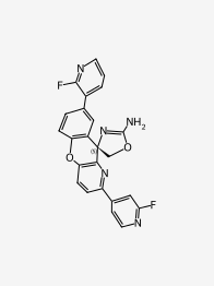 NC1=N[C@@]2(CO1)c1cc(-c3cccnc3F)ccc1Oc1ccc(-c3ccnc(F)c3)nc12